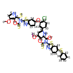 COc1ccnc2c(=S)n(-c3nc4ccc(Oc5cc(-c6cc(OI)c7oc(=S)n(-c8nc9ccc(Sc%10ccccc%10)cc9s8)c(=O)c7n6)ccc5Cl)cc4s3)c(=S)oc12